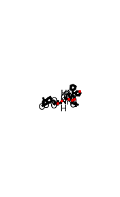 Cc1cc(=O)oc2cc(OC(=O)C(C)(C)CCNC(=O)[C@@H](CC(=O)NC(c3ccccc3)(c3ccccc3)c3ccccc3)NC(=O)OC(C)(C)C)ccc12